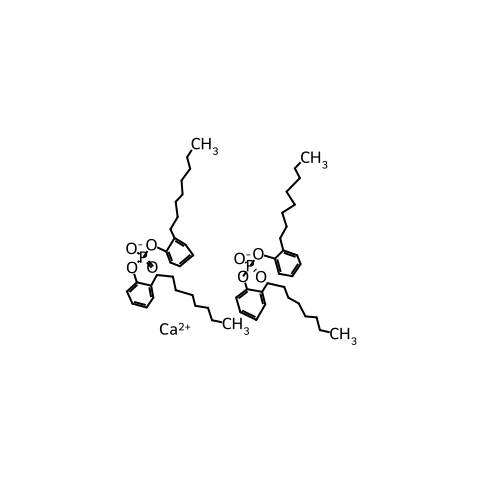 CCCCCCCCc1ccccc1OP(=O)([O-])Oc1ccccc1CCCCCCCC.CCCCCCCCc1ccccc1OP(=O)([O-])Oc1ccccc1CCCCCCCC.[Ca+2]